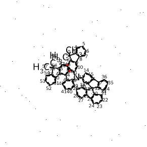 CC1(C)c2ccccc2-c2cc(N(c3ccc4c(c3)C3(c5ccccc5-c5ccccc53)c3ccccc3-4)c3ccccc3-c3cccc4c3-c3ccccc3C4(C)C)ccc21